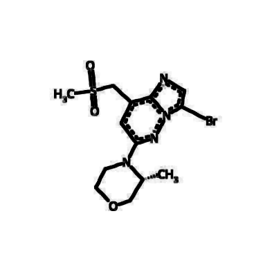 C[C@@H]1COCCN1c1cc(CS(C)(=O)=O)c2ncc(Br)n2n1